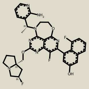 C[C@H](c1cccnc1N)N1CCOc2nc(-c3cc(O)cc4cccc(F)c34)c(F)c3nc(OC[C@@]45CCCN4C[C@H](F)C5)nc1c23